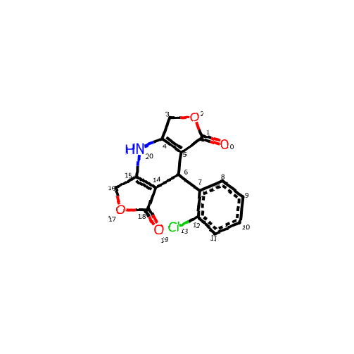 O=C1OCC2=C1C(c1ccccc1Cl)C1=C(COC1=O)N2